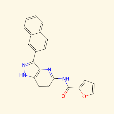 O=C(Nc1ccc2[nH]nc(-c3ccc4ccccc4c3)c2n1)c1ccco1